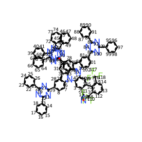 N#Cc1cc(-n2c3ccc(-c4nc(-c5ccccc5)nc(-c5ccccc5)n4)cc3c3cc(-c4nc(-c5ccccc5)nc(-c5ccccc5)n4)ccc32)c(-n2c3ccc(-c4nc(-c5ccccc5)nc(-c5ccccc5)n4)cc3c3cc(-c4nc(-c5ccccc5)nc(-c5ccccc5)n4)ccc32)cc1-c1c(C(F)(F)F)cccc1C(F)(F)F